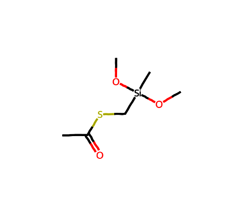 CO[Si](C)(CSC(C)=O)OC